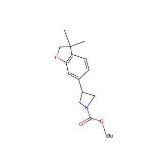 CC(C)(C)OC(=O)N1CC(c2ccc3c(c2)OCC3(C)C)C1